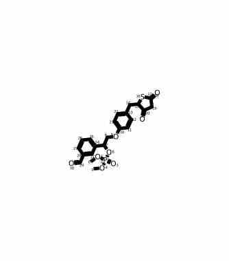 COP(=O)(OC)OC(COc1ccc(CC2SC(=O)CC2=O)cc1)c1cccc(C=O)c1